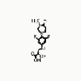 CN1CCN(c2c(F)cc(NC[C@@H](O)C(=O)O)cc2F)CCC1=O